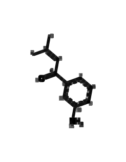 CC(C)=CC(=O)c1cccc(N)c1